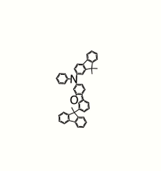 CC1(C)c2ccccc2-c2ccc(N(c3ccccc3)c3ccc4c(c3)oc3c(C5(C)c6ccccc6-c6ccccc65)cccc34)cc21